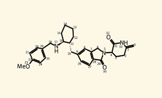 C=C1CCC(N2Cc3cc(C[C@H]4CCCC[C@@H]4NCc4ccc(OC)cc4)ccc3C2=O)C(=O)N1